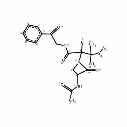 CC(=O)NC1CN(C(Cl)(C(=O)OCC(=O)c2ccccc2)C(C)(C)SCl)C1=O